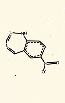 O=[N+]([O-])c1ccc2c(c1)C=CC=NN2